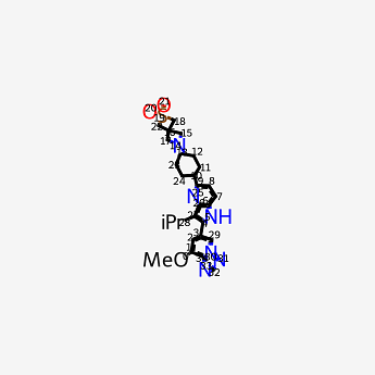 COc1cc(-c2[nH]c3ccc(C4CCC(N5CC6(C5)CS(=O)(=O)C6)CC4)nc3c2C(C)C)cn2ncnc12